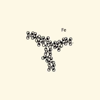 O=P([O][Mo](=[O])(=[O])[O][Mo](=[O])(=[O])[O][Mo](=[O])(=[O])[O][Mo](=[O])(=[O])[O-])([O][Mo](=[O])(=[O])[O][Mo](=[O])(=[O])[O][Mo](=[O])(=[O])[O][Mo](=[O])(=[O])[O-])[O][Mo](=[O])(=[O])[O][Mo](=[O])(=[O])[O][Mo](=[O])(=[O])[O][Mo](=[O])(=[O])[O-].[Fe]